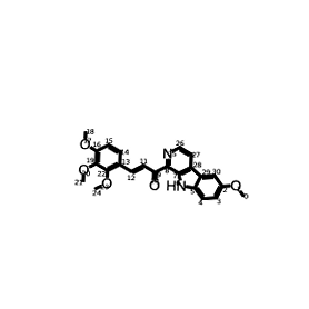 COc1ccc2[nH]c3c(C(=O)C=Cc4ccc(OC)c(OC)c4OC)nccc3c2c1